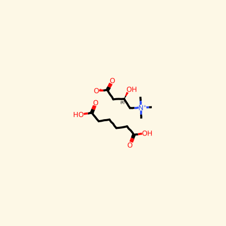 C[N+](C)(C)C[C@H](O)CC(=O)[O-].O=C(O)CCCCC(=O)O